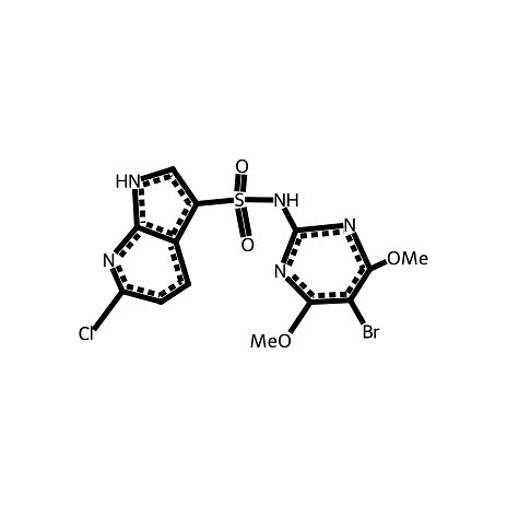 COc1nc(NS(=O)(=O)c2c[nH]c3nc(Cl)ccc23)nc(OC)c1Br